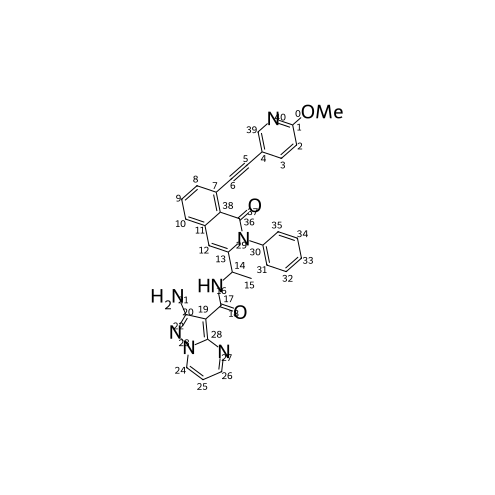 COc1ccc(C#Cc2cccc3cc(C(C)NC(=O)c4c(N)nn5cccnc45)n(-c4ccccc4)c(=O)c23)cn1